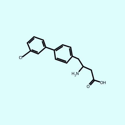 NC(CC(=O)O)Cc1ccc(-c2cccc(Cl)c2)cc1